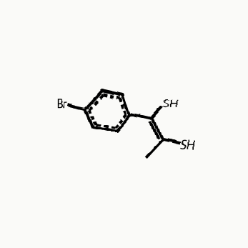 C/C(S)=C(/S)c1ccc(Br)cc1